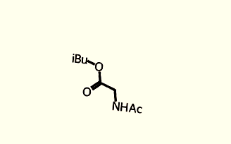 CCC(C)OC(=O)CNC(C)=O